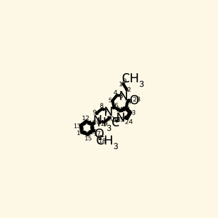 CCCN1CCC(N2CCN(c3ccccc3OC)CC2)c2c(ccn2C)C1=O